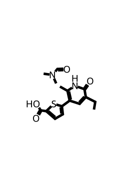 CCc1cc(-c2ccc(C(=O)O)s2)c(C)[nH]c1=O.CN(C)C=O